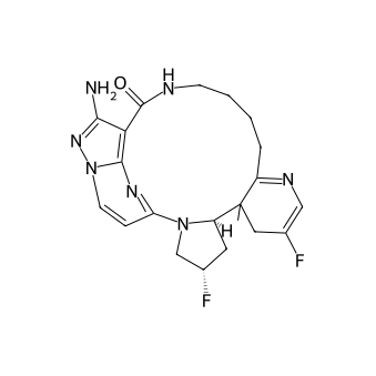 CC12CC(F)=CN=C1CCCCNC(=O)c1c(N)nn3ccc(nc13)N1C[C@@H](F)C[C@@H]12